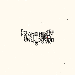 COc1cc(C(=O)NCC2CCN(C(=O)COc3c(-c4csc(N5CCOCC5)n4)ccc(F)c3F)CC2)ccc1NC(=O)[C@@H]1N[C@@H](CC(C)(C)C)[C@](C#N)(c2ccc(Cl)cc2F)[C@H]1c1cccc(Cl)c1F